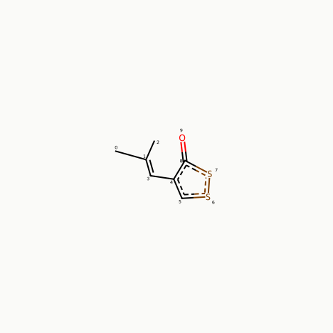 CC(C)=Cc1cssc1=O